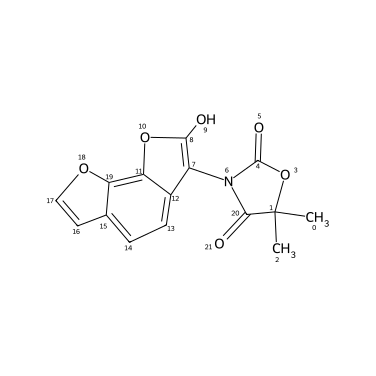 CC1(C)OC(=O)N(c2c(O)oc3c2ccc2ccoc23)C1=O